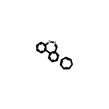 C1=CC=CCC=C1.C1=NSc2ccccc2-c2ccccc21